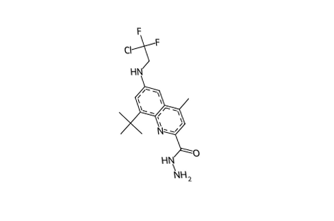 Cc1cc(C(=O)NN)nc2c(C(C)(C)C)cc(NCC(F)(F)Cl)cc12